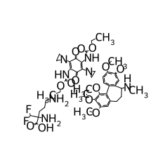 CCOC(=O)NC1=C(N2CC2)C(=O)C(NC(=O)OCC)=C(N2CC2)C1=O.CN[C@H]1CCc2cc(OC)c(OC)c(OC)c2-c2ccc(OC)c(=O)cc21.NCCCC(N)(C(=O)O)C(F)F